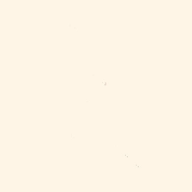 CCOCC(=O)NC(CCC(=O)C=[N+]=[N-])C(=O)OC(C)C